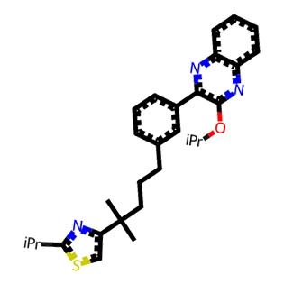 CC(C)Oc1nc2ccccc2nc1-c1cccc(CCCC(C)(C)c2csc(C(C)C)n2)c1